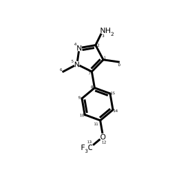 Cc1c(N)nn(C)c1-c1ccc(OC(F)(F)F)cc1